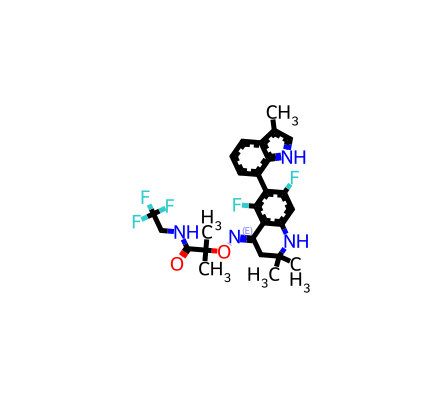 Cc1c[nH]c2c(-c3c(F)cc4c(c3F)/C(=N/OC(C)(C)C(=O)NCC(F)(F)F)CC(C)(C)N4)cccc12